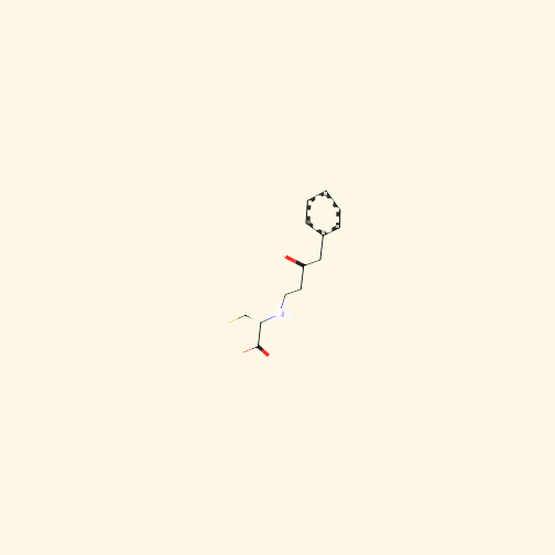 O=C(CCN[C@H](CS)C(=O)O)Cc1ccccc1